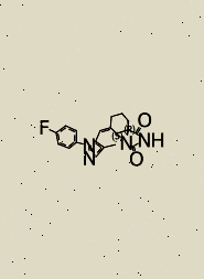 O=C1NC(=O)[C@@]23CCCC4=Cc5c(cnn5-c5ccc(F)cc5)C[C@]42N13